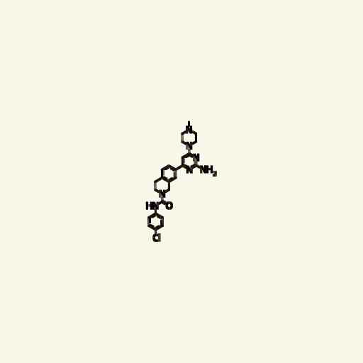 CN1CCN(c2cc(-c3ccc4c(c3)CN(C(=O)Nc3ccc(Cl)cc3)CC4)nc(N)n2)CC1